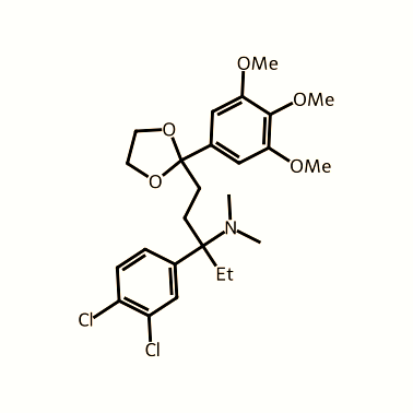 CCC(CCC1(c2cc(OC)c(OC)c(OC)c2)OCCO1)(c1ccc(Cl)c(Cl)c1)N(C)C